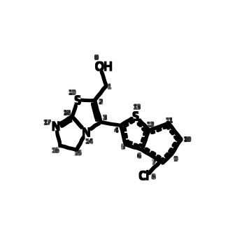 OCC1=C(c2cc3c(Cl)cccc3s2)N2CCN=C2S1